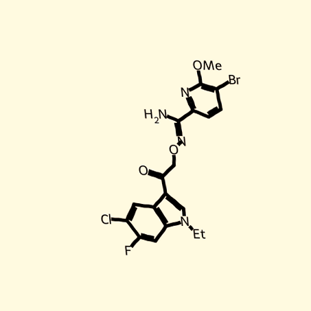 CCn1cc(C(=O)CO/N=C(\N)c2ccc(Br)c(OC)n2)c2cc(Cl)c(F)cc21